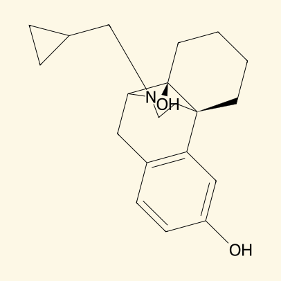 Oc1ccc2c(c1)[C@@]13CCCC[C@@]1(O)C(C2)N(CC1CC1)CC3